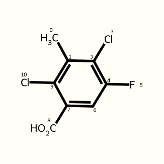 Cc1c(Cl)c(F)cc(C(=O)O)c1Cl